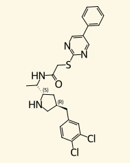 CC(NC(=O)CSc1ncc(-c2ccccc2)cn1)[C@@H]1C[C@@H](Cc2ccc(Cl)c(Cl)c2)CN1